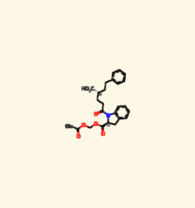 CC(C)(C)C(=O)OCOC(=O)[C@@H]1Cc2ccccc2N1C(=O)CC[C@@H](CCc1ccccc1)C(=O)O